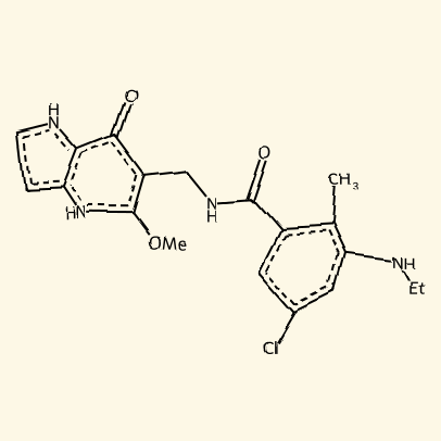 CCNc1cc(Cl)cc(C(=O)NCc2c(OC)[nH]c3cc[nH]c3c2=O)c1C